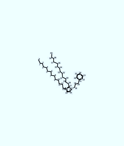 CCCCCCCCCCCCCCn1cc[n+](CCCc2ccccc2)c1CCCCCCCCCCCCC